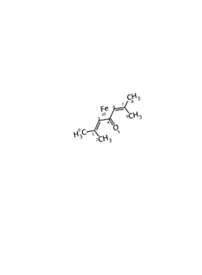 CC(C)=CC(=O)C=C(C)C.[Fe]